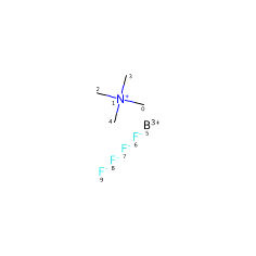 C[N+](C)(C)C.[B+3].[F-].[F-].[F-].[F-]